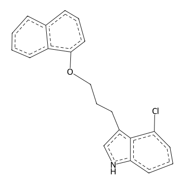 Clc1cccc2[nH]cc(CCCOc3cccc4ccccc34)c12